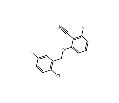 N#Cc1c(F)cccc1OCc1cc(F)ccc1Cl